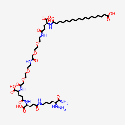 NN[C@@H](CCCCNC(=O)CC[C@H](NC(=O)CC[C@H](NC(=O)COCCOCCNC(=O)COCCOCCNC(=O)CC[C@H](NC(=O)CCCCCCCCCCCCCCCCC(=O)O)C(=O)O)C(=O)O)C(=O)O)C(N)=O